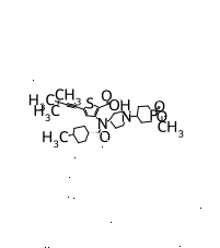 COP1(=O)CCC(N2CCC(N(c3cc(C#CC(C)(C)C)sc3C(=O)O)C(=O)[C@H]3CC[C@H](C)CC3)CC2)CC1